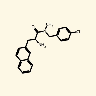 CN(Cc1ccc(Cl)cc1)C(=O)[C@@H](N)Cc1ccc2ccccc2c1